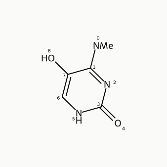 CNc1nc(=O)[nH]cc1O